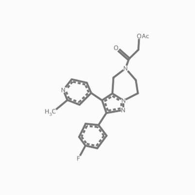 CC(=O)OCC(=O)N1CCn2nc(-c3ccc(F)cc3)c(-c3ccnc(C)c3)c2C1